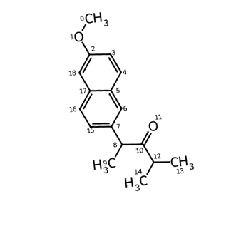 COc1ccc2cc(C(C)C(=O)C(C)C)ccc2c1